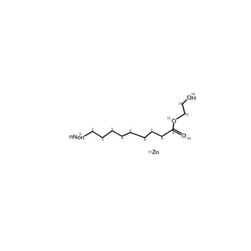 CCCCCCCCCCCCCCCCCC(=O)OCCO.[Zn]